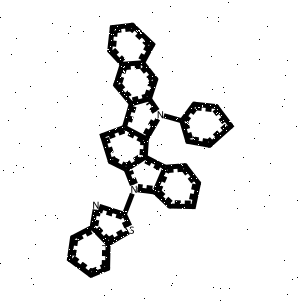 c1ccc(-n2c3cc4ccccc4cc3c3ccc4c(c5ccccc5n4-c4nc5ccccc5s4)c32)cc1